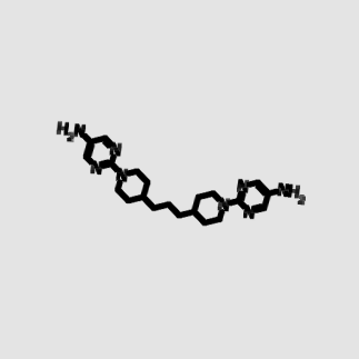 Nc1cnc(N2CCC(CCCC3CCN(c4ncc(N)cn4)CC3)CC2)nc1